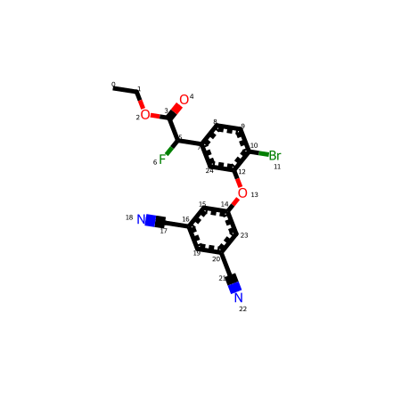 CCOC(=O)C(F)c1ccc(Br)c(Oc2cc(C#N)cc(C#N)c2)c1